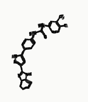 O=C(Nc1ccc(-c2cc(-c3nc4ccccc4[nH]3)n[nH]2)cc1)Nc1ccc(Cl)c(C(F)(F)F)c1